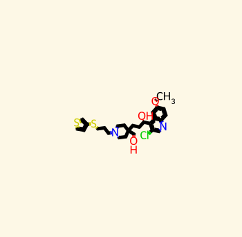 COc1ccc2ncc(Cl)c([C@@H](O)CCC3(CO)CCN(CCCSc4ccsc4)CC3)c2c1